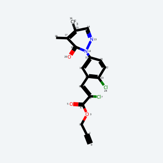 C#CCOC(=O)/C(Cl)=C/c1cc(-n2ncc(C(F)(F)F)c(C)c2=O)ccc1Cl